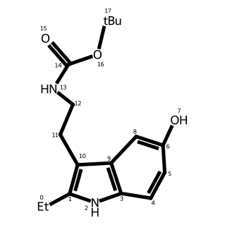 CCc1[nH]c2ccc(O)cc2c1CCNC(=O)OC(C)(C)C